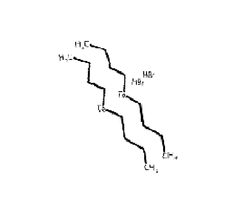 Br.Br.CCCC[Te]CCCC.CCCC[Te]CCCC